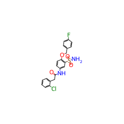 NS(=O)(=O)c1cc(NC(=O)Cc2ccccc2Cl)ccc1OCc1ccc(F)cc1